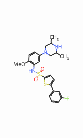 COc1ccc(N2CC(C)NC(C)C2)cc1NS(=O)(=O)c1ccc(-c2cccc(F)c2)s1